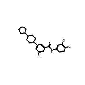 O=C(Nc1ccc(Cl)c(Cl)c1)c1cc(N2CCC(N3CCCC3)CC2)cc(C(F)(F)F)c1